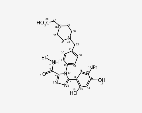 CCNC(=O)c1nnc(-c2cc(C(C)C)c(O)cc2O)n1-c1ccc(CN2CCN(CC(=O)O)CC2)cc1